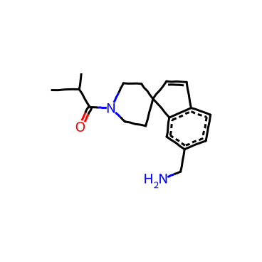 CC(C)C(=O)N1CCC2(C=Cc3ccc(CN)cc32)CC1